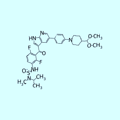 COC(OC)C1CCN(c2ccc(-c3cnc4[nH]cc(C(=O)c5c(F)ccc(N[S+]([O-])N(C)C(C)C)c5F)c4c3)cc2)CC1